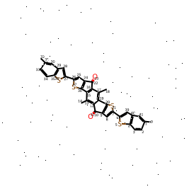 Cc1ccc2sc(-c3cc4c(=O)c5c(C)c6c(c(C)c5c4s3)c(=O)c3cc(-c4cc5cc(C)ccc5s4)sc36)cc2c1